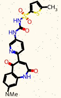 CNc1ccc2c(=O)c(-c3ccc(NC(=O)NS(=O)(=O)c4ccc(C)s4)cn3)cc(=O)[nH]c2c1